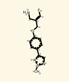 Cn1ncc(-c2ccc(OC/C(=C/F)CN)cc2)n1